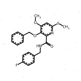 COc1cc(SC)nc(C(=O)NCc2ccc(F)cc2)c1OCc1ccccc1